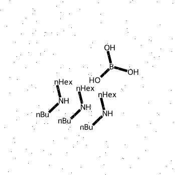 CCCCCCNCCCC.CCCCCCNCCCC.CCCCCCNCCCC.OB(O)O